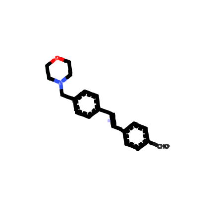 O=[C]c1ccc(/C=C/c2ccc(CN3CCOCC3)cc2)cc1